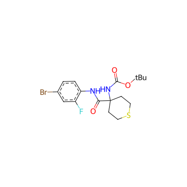 CC(C)(C)OC(=O)NC1(C(=O)Nc2ccc(Br)cc2F)CCSCC1